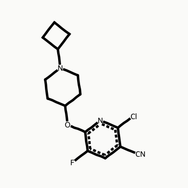 N#Cc1cc(F)c(OC2CCN(C3CCC3)CC2)nc1Cl